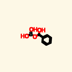 OB(O)OC(O)c1ccccc1